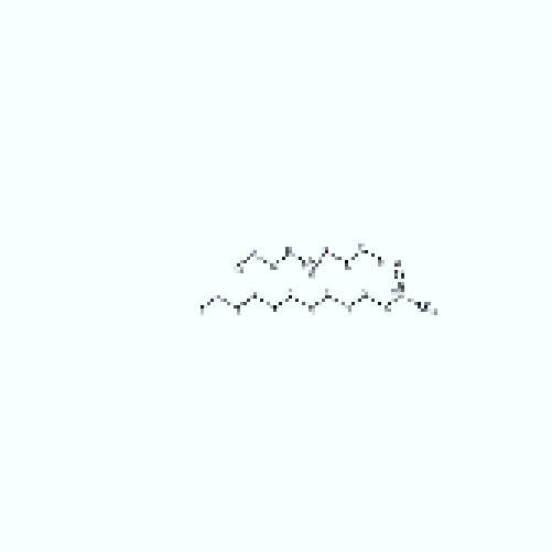 CCCCCCCCCCCC(=O)[O-].CCC[CH2][Pb+][CH2]CCC